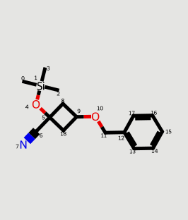 C[Si](C)(C)OC1(C#N)CC(OCc2ccccc2)C1